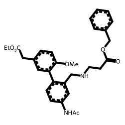 CCOC(=O)Cc1ccc(OC)c(-c2ccc(NC(C)=O)cc2CNCCC(=O)OCc2ccccc2)c1